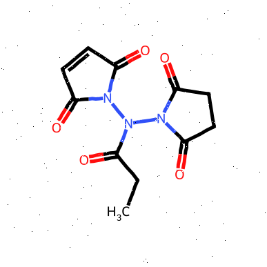 CCC(=O)N(N1C(=O)C=CC1=O)N1C(=O)CCC1=O